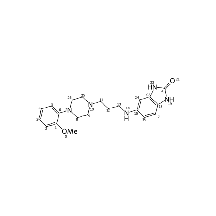 COc1ccccc1N1CCN(CCCNc2ccc3[nH]c(=O)[nH]c3c2)CC1